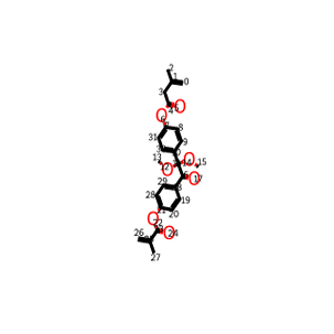 C=C(C)CC(=O)Oc1ccc(C(OC)(OC)C(=O)c2ccc(OC(=O)C(=C)C)cc2)cc1